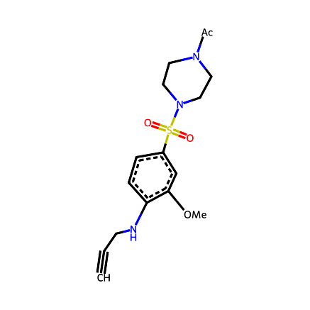 C#CCNc1ccc(S(=O)(=O)N2CCN(C(C)=O)CC2)cc1OC